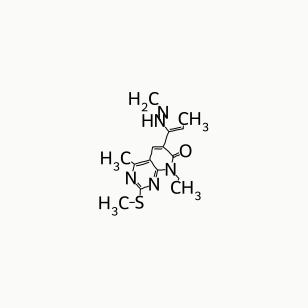 C=NN/C(=C\C)c1cc2c(C)nc(SC)nc2n(CC)c1=O